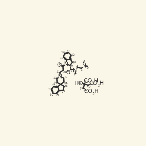 CN(C)CCN(C)C(=O)[C@@H]1Cc2ccccc2N1C(=O)CCN1CCC2(CCc3ccccc32)CC1.O=C(O)CC(O)(CC(=O)O)C(=O)O